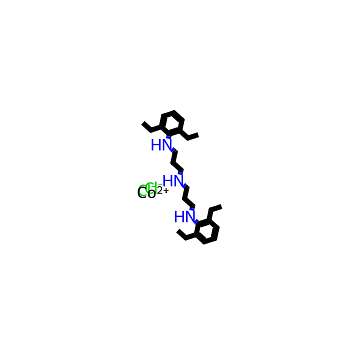 CCc1cccc(CC)c1NCCCNCCCNc1c(CC)cccc1CC.[Cl-].[Cl-].[Co+2]